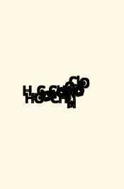 Cc1cc(C(C)(C)c2ccc(C(=O)Nc3cccc(C(=O)Cl)c3)cc2)ccc1O